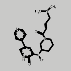 CCN(c1cc(-c2ccncc2)c[nH]c1=O)C1CCCN(C(=O)/C=C/CN(C)C)C1